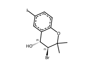 CC1(C)Oc2ccc(I)cc2[C@@H](O)[C@@H]1Br